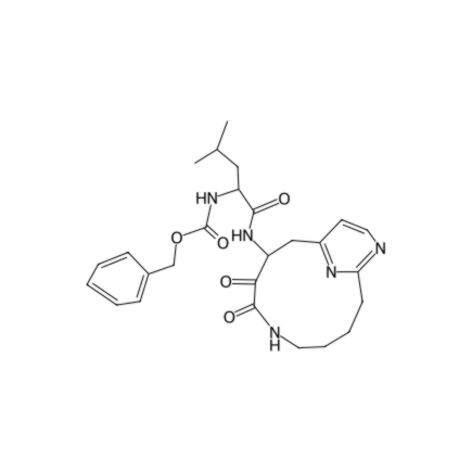 CC(C)CC(NC(=O)OCc1ccccc1)C(=O)NC1Cc2ccnc(n2)CCCCNC(=O)C1=O